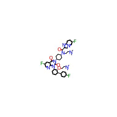 CN(C)CCOc1c(-c2ccc(F)cc2)cccc1-n1c(=O)n([C@H]2CC[C@@H](N(CCN(C)C)C(=O)c3cn4cc(F)ccc4n3)CC2)c(=O)c2cc(F)cnc21